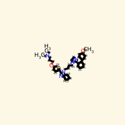 CCN(CC)CCCOc1ccc(-c2nc3ccccc3n2CC=CCn2ccnc2-c2ccccc2-c2ccc(OC)cc2)cc1